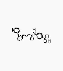 O=C(CCCN1CCCC1c1cccnc1)Nc1ccc(C(=O)O)cc1